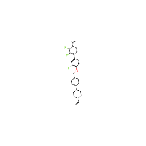 C=CC1CCC(c2ccc(COc3ccc(-c4ccc(CCC)c(F)c4F)cc3F)cc2)CC1